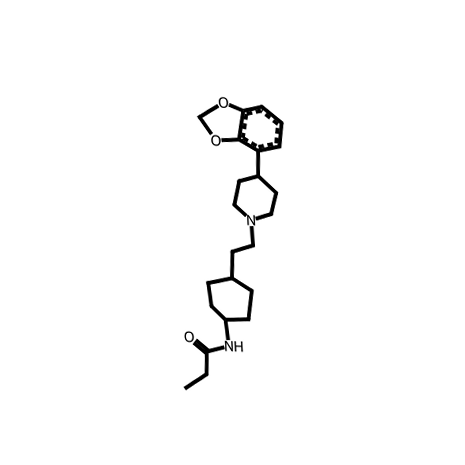 CCC(=O)NC1CCC(CCN2CCC(c3cccc4c3OCO4)CC2)CC1